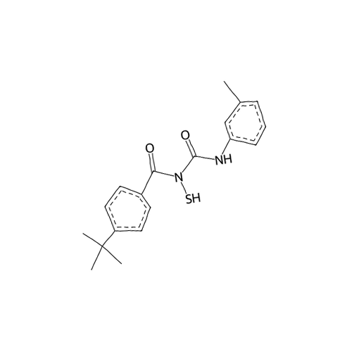 Cc1cccc(NC(=O)N(S)C(=O)c2ccc(C(C)(C)C)cc2)c1